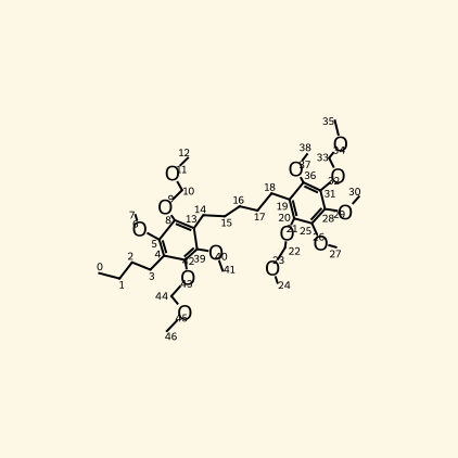 CCCCc1c(OC)c(OCOC)c(CCCCCc2c(OCOC)c(OC)c(OC)c(OCOC)c2OC)c(OC)c1OCOC